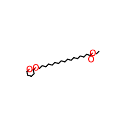 CCOC(=O)CCCCCCCCCCCCCCCCOC1CCCCO1